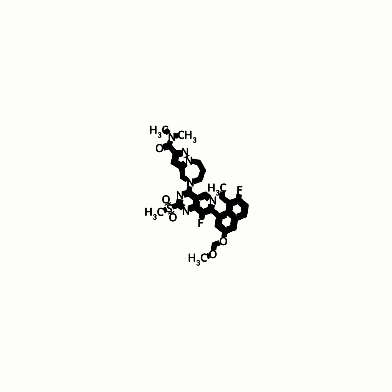 CCc1c(F)ccc2cc(OCOC)cc(-c3ncc4c(N5CCCn6nc(C(=O)N(C)C)cc6C5)nc(S(C)(=O)=O)nc4c3F)c12